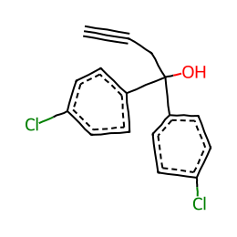 C#CCC(O)(c1ccc(Cl)cc1)c1ccc(Cl)cc1